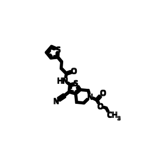 CCOC(=O)N1CCc2c(sc(NC(=O)CCc3cccs3)c2C#N)C1